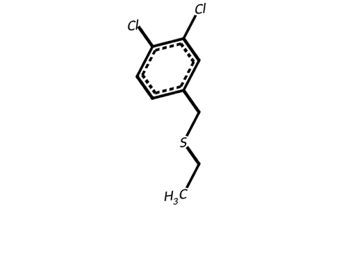 CCSCc1ccc(Cl)c(Cl)c1